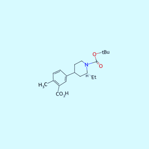 CC[C@@H]1CC(c2ccc(C)c(C(=O)O)c2)CCN1C(=O)OC(C)(C)C